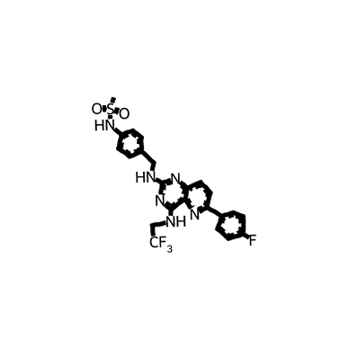 CS(=O)(=O)Nc1ccc(CNc2nc(NCC(F)(F)F)c3nc(-c4ccc(F)cc4)ccc3n2)cc1